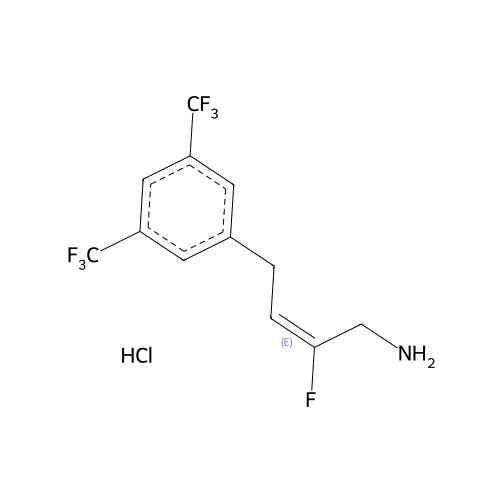 Cl.NC/C(F)=C\Cc1cc(C(F)(F)F)cc(C(F)(F)F)c1